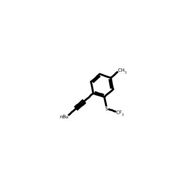 CCCCC#Cc1ccc(C)cc1SC(F)(F)F